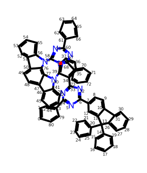 c1ccc(-c2nc(-c3ccc4c(c3)C(c3ccccc3)(c3ccccc3)c3ccccc3-4)nc(-c3ccccc3-n3c4ccccc4c4ccc5c6ccccc6n(-c6nc(-c7ccccc7)nc(-c7ccccc7)n6)c5c43)n2)cc1